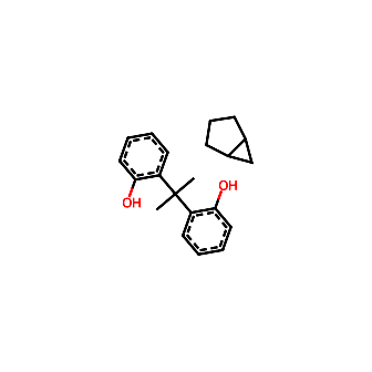 C1CC2CC2C1.CC(C)(c1ccccc1O)c1ccccc1O